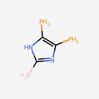 Bc1nc(P)c(P)[nH]1